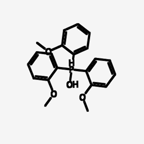 COc1ccccc1[PH](O)(c1ccccc1OC)c1ccccc1OC